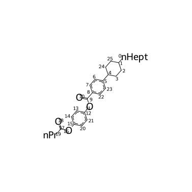 CCCCCCCC1CCC(c2ccc(C(=O)Oc3ccc(OC(=O)CCC)cc3)cc2)CC1